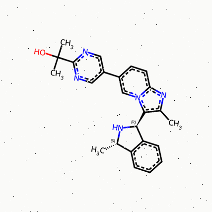 Cc1nc2ccc(-c3cnc(C(C)(C)O)nc3)cn2c1[C@@H]1N[C@@H](C)c2ccccc21